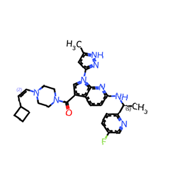 Cc1cc(-n2cc(C(=O)N3CCN(/C=C\C4CCC4)CC3)c3ccc(N[C@@H](C)c4ccc(F)cn4)nc32)n[nH]1